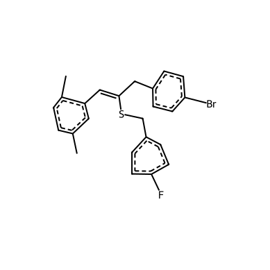 Cc1ccc(C)c(C=C(Cc2ccc(Br)cc2)SCc2ccc(F)cc2)c1